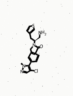 Cn1ncc(Cl)c1-c1ccc2c(c1)CN([C@H](CN)Cc1ccsc1)C2=O